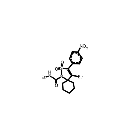 C[CH]C1=C(c2ccc([N+](=O)[O-])cc2)S(=O)(=O)N(C(=O)NCC)C12CCCCC2